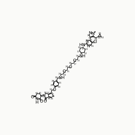 Cn1ncc(-c2nc(N[C@H]3CC[C@H](NCCOCCOCCOCCNCc4ccc(OCc5scc6c5CN([C@H]5CCC(=O)NC5=O)C6=O)cc4)CC3)ncc2Cl)c1CC1CC1